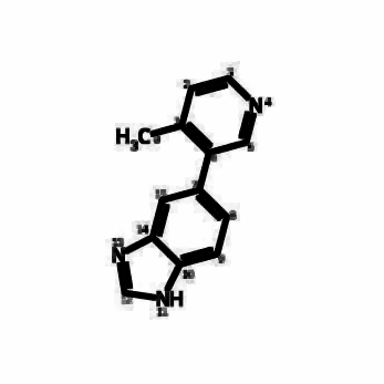 Cc1ccncc1-c1ccc2[nH]cnc2c1